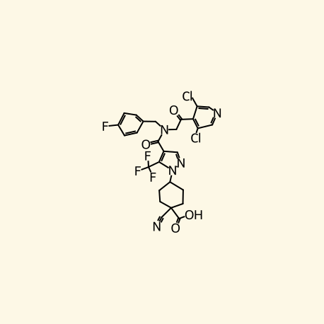 N#CC1(C(=O)O)CCC(n2ncc(C(=O)N(CC(=O)c3c(Cl)cncc3Cl)Cc3ccc(F)cc3)c2C(F)(F)F)CC1